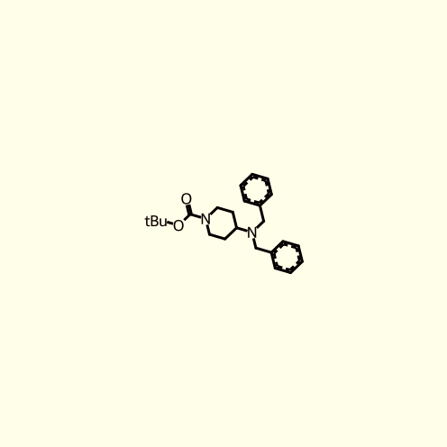 CC(C)(C)OC(=O)N1CCC(N(Cc2ccccc2)Cc2ccccc2)CC1